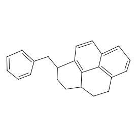 c1ccc(CC2CCC3CCc4cccc5ccc2c3c45)cc1